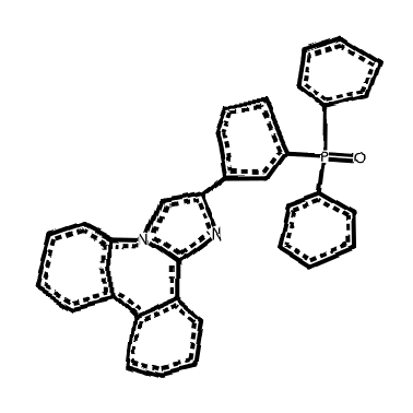 O=P(c1ccccc1)(c1ccccc1)c1cccc(-c2cn3c4ccccc4c4ccccc4c3n2)c1